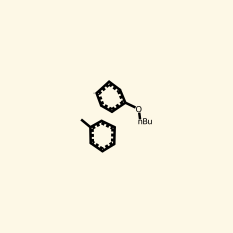 CCCCOc1cc[c]cc1.Cc1ccccc1